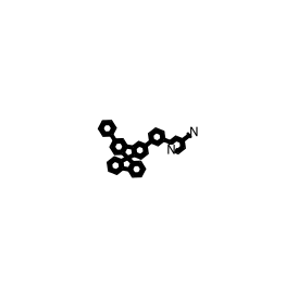 N#Cc1ccnc(-c2cccc(-c3ccc4c(c3)-c3cc(-c5ccccc5)ccc3C43c4ccccc4-c4ccccc43)c2)c1